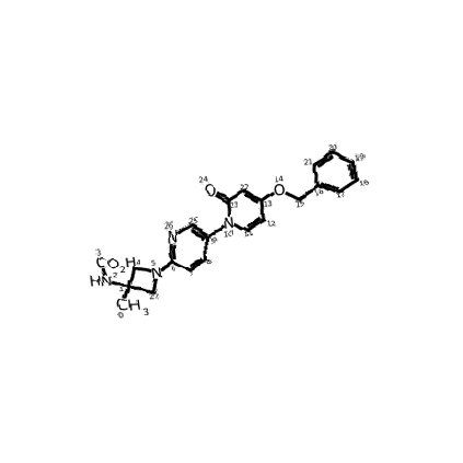 CC1(NC(=O)O)CN(c2ccc(-n3ccc(OCc4ccccc4)cc3=O)cn2)C1